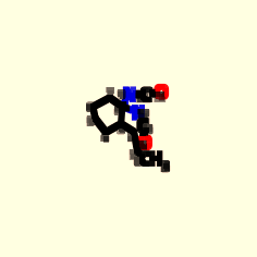 CCCC1CCCCC1(N=C=O)N=C=O